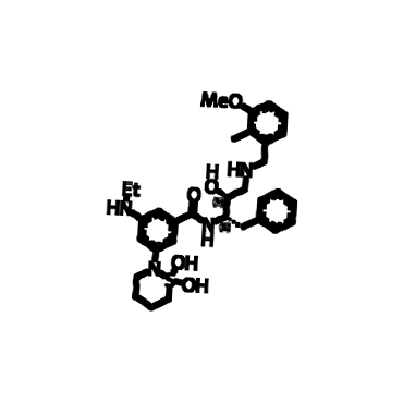 CCNc1cc(C(=O)N[C@@H](Cc2ccccc2)[C@@H](O)CNCc2cccc(OC)c2C)cc(N2CCCCS2(O)O)c1